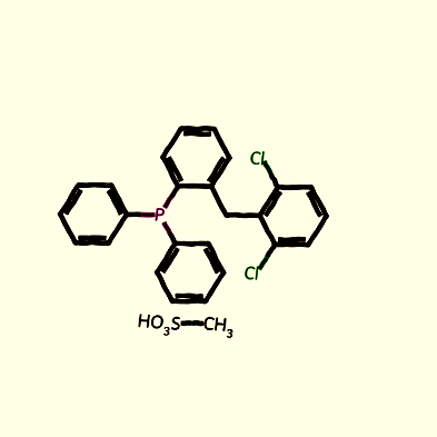 CS(=O)(=O)O.Clc1cccc(Cl)c1Cc1ccccc1P(c1ccccc1)c1ccccc1